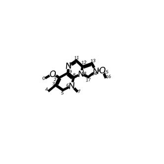 COC1=C(C)CN(C)C2=C1N=CC1=CN(OC)CN12